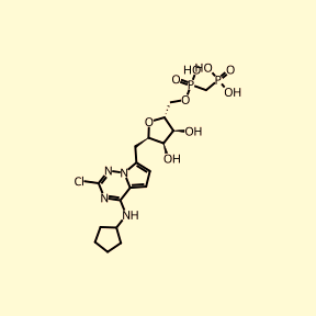 O=P(O)(O)CP(=O)(O)OC[C@H]1O[C@H](Cc2ccc3c(NC4CCCC4)nc(Cl)nn23)[C@H](O)[C@@H]1O